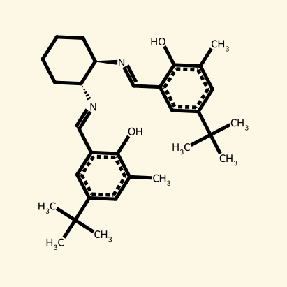 Cc1cc(C(C)(C)C)cc(C=N[C@@H]2CCCC[C@H]2N=Cc2cc(C(C)(C)C)cc(C)c2O)c1O